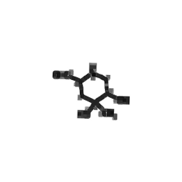 CC1(O)CC(C=O)NCC1O